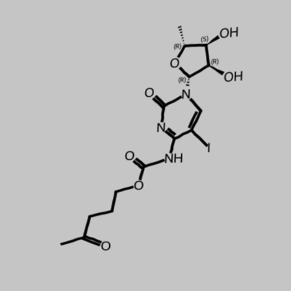 CC(=O)CCCOC(=O)Nc1nc(=O)n([C@@H]2O[C@H](C)[C@@H](O)[C@H]2O)cc1I